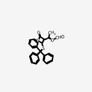 CC(OC=O)C1C(=O)NC1SC(c1ccccc1)(c1ccccc1)c1ccccc1